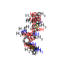 CCN[C@H]1CO[C@@H](O[C@H]2[C@H](O[C@H]3C#CC=CC#C[C@]4(O)CC(=O)C(NC(=O)OC)=C3/C4=C\CSSC(C)(C)c3ccccc3N)O[C@H](C)[C@@H](NO[C@H]3C[C@H](O)[C@H](SC(=O)c4c(C)c(I)c(O[C@@H]5O[C@@H](C)[C@H](O)[C@@H](OC)[C@H]5O)c(OC)c4OC)[C@@H](C)O3)[C@@H]2O)C[C@@H]1OC